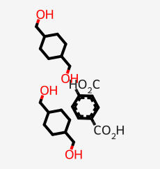 O=C(O)c1ccc(C(=O)O)cc1.OCC1CCC(CO)CC1.OCC1CCC(CO)CC1